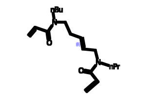 C=CC(=O)N(C/C=C/CCN(CCCC)C(=O)C=C)CCC